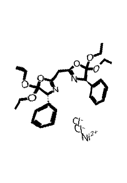 CCOC1(OCC)OC(CC2=N[C@H](c3ccccc3)C(OCC)(OCC)O2)=N[C@@H]1c1ccccc1.[Cl-].[Cl-].[Ni+2]